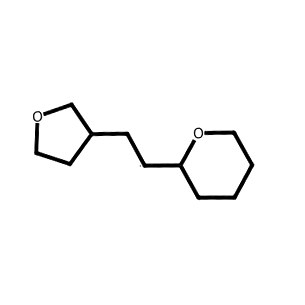 [CH](CC1CCOC1)C1CCCCO1